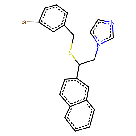 Brc1cccc(CSC(Cn2ccnc2)c2ccc3ccccc3c2)c1